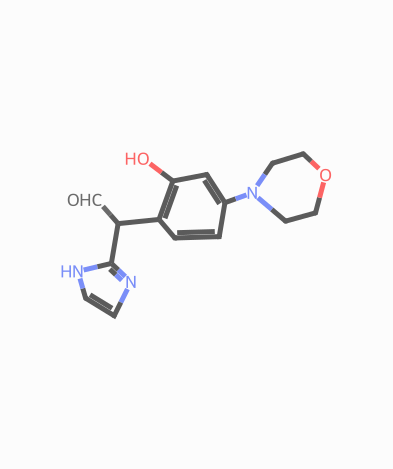 O=CC(c1ncc[nH]1)c1ccc(N2CCOCC2)cc1O